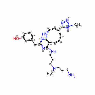 CN(CCCN)CCCNc1nc(Cc2cccc(O)c2)nc2[nH]ccc(-c3nnn(C)n3)cccc12